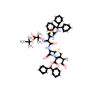 CC(C)(C)OC(=O)C(C)(C)ON=C(C(=O)NC1C(=O)N2C(C(=O)OC(c3ccccc3)c3ccccc3)=C(C(Br)C=O)CSC12)c1csc(NC(c2ccccc2)(c2ccccc2)c2ccccc2)n1